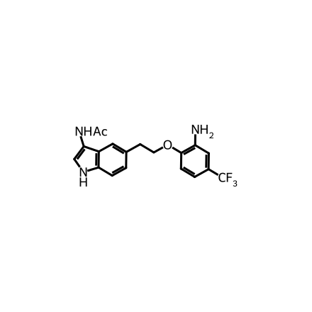 CC(=O)Nc1c[nH]c2ccc(CCOc3ccc(C(F)(F)F)cc3N)cc12